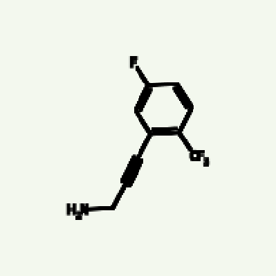 NCC#Cc1cc(F)ccc1C(F)(F)F